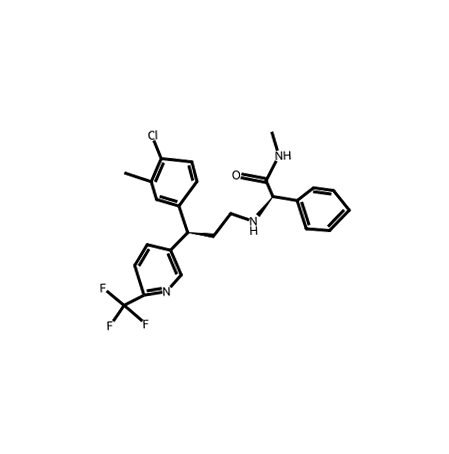 CNC(=O)[C@H](NCC[C@@H](c1ccc(C(F)(F)F)nc1)c1ccc(Cl)c(C)c1)c1ccccc1